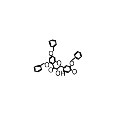 COc1ccc(C2Oc3cc(OCc4ccccc4)cc(OCc4ccccc4)c3C(=O)C2O)cc1OCc1ccccc1